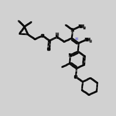 Cc1nc(/C(N)=C(\CNC(=O)OCC2CC2(C)C)N(C)N)ccc1OC1CCCCC1